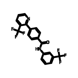 O=C(Nc1cccc(C(F)(F)F)c1)c1ccc(-c2ncccc2C(F)(F)F)cc1